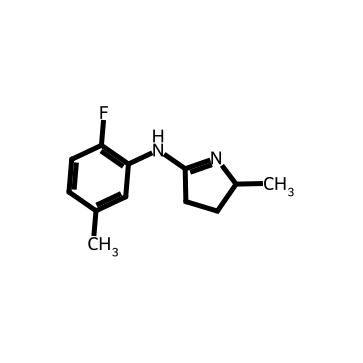 Cc1ccc(F)c(NC2=NC(C)CC2)c1